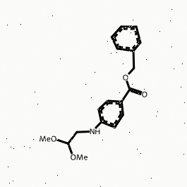 COC(CNc1ccc(C(=O)OCc2ccccc2)cc1)OC